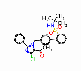 CC(=O)c1c(Cl)nc(-c2ccccc2)n1Cc1ccc(-c2ccccc2S(=O)(=O)NC(C)(C)C)cc1